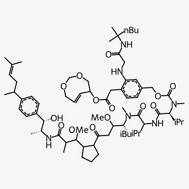 CCCCC(C)(C)NC(=O)CNc1cc(COC(=O)N(C)[C@H](C(=O)NC(C(=O)N(C)C(C(CC(=O)C2CCCC2C(OC)C(C)C(=O)N[C@H](C)[C@@H](O)c2ccc(C(C)CC=C(C)C)cc2)OC)[C@@H](C)CC)C(C)C)C(C)C)ccc1CC(=O)OC1/C=C/COCOC1